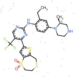 CCc1cc(N2CCNC[C@@H]2C)ccc1Nc1ncc(C(F)(F)F)c(-c2cc3c(s2)CSCCS3(=O)=O)n1